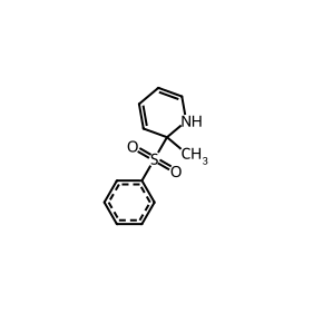 CC1(S(=O)(=O)c2ccccc2)C=CC=CN1